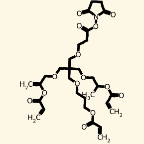 C=CC(=O)OCCCOCC(COCCC(=O)ON1C(=O)CCC1=O)(COCC(=C)OC(=O)C=C)COCC(C)OC(=O)C=C